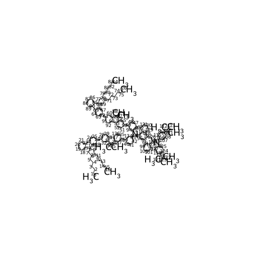 CCCCCCCCC1(CCCCCCCC)c2ccccc2-c2ccc(-c3ccc4c(c3)C(C)(C)c3cc(-c5cccc(N(c6cccc(-c7ccc8c(c7)C(C)(C)c7cc(-c9ccc%10c(c9)C(CCCCCCCC)(CCCCCCCC)c9ccccc9-%10)ccc7-8)c6)c6cc7c8ccccc8c(N(c8ccc(C(C)(C)C)cc8)c8ccc(C(C)(C)C)cc8)cc7c7ccccc67)c5)ccc3-4)cc21